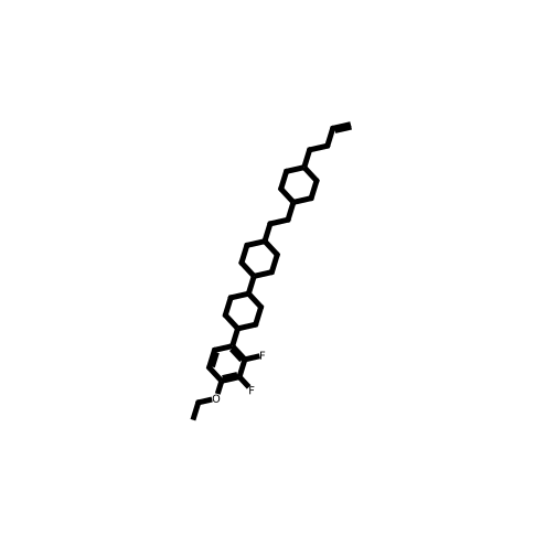 C=CCCC1CCC(CCC2CCC(C3CCC(c4ccc(OCC)c(F)c4F)CC3)CC2)CC1